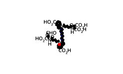 CC1(C)C(/C=C/C=C/C=C/C=C2/N(CCCCC(=O)NC(CC(=O)O)C(=O)O)c3ccc(C(=O)O)cc3C2(C)C)=[N+](CCCCC(=O)NC(COC=O)C(=O)O)c2ccc(C(=O)O)cc21